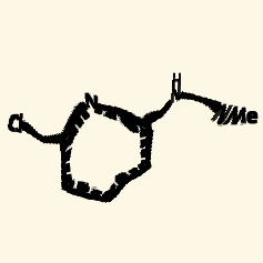 CNNc1cccc(Cl)n1